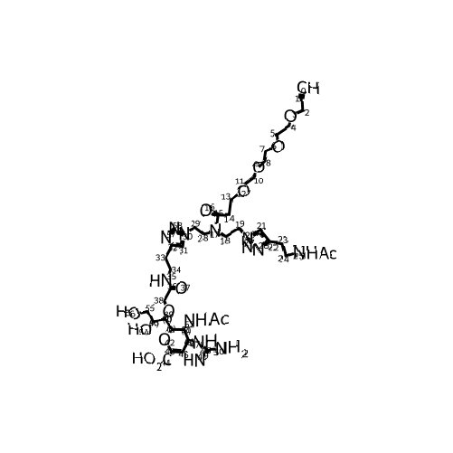 C#CCOCCOCCOCCOCCC(=O)N(CCn1cc(CCNC(C)=O)nn1)CCn1cc(CCNC(=O)CO[C@@H]([C@@H]2OC(C(=O)O)=C[C@H](NC(=N)N)[C@H]2NC(C)=O)[C@H](O)CO)nn1